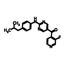 CC(C)Cc1ccc(Nc2ncc(C(=O)c3ccncc3F)cn2)cc1